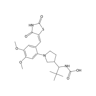 COc1cc(C=C2SC(=O)NC2=O)c(N2CCC(C(NC(=O)O)C(C)(C)C)C2)cc1OC